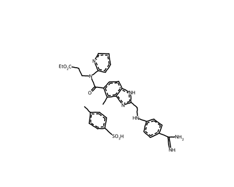 CCOC(=O)CCN(C(=O)c1ccc2[nH]c(CNc3ccc(C(=N)N)cc3)nc2c1C)c1ccccn1.Cc1ccc(S(=O)(=O)O)cc1